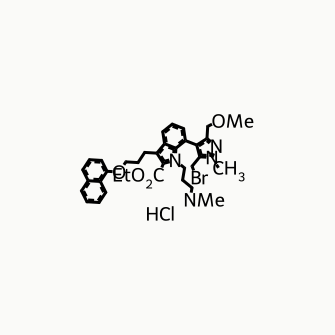 CCOC(=O)c1c(CCCOc2cccc3ccccc23)c2cccc(-c3c(COC)nn(C)c3CBr)c2n1CCCNC.Cl